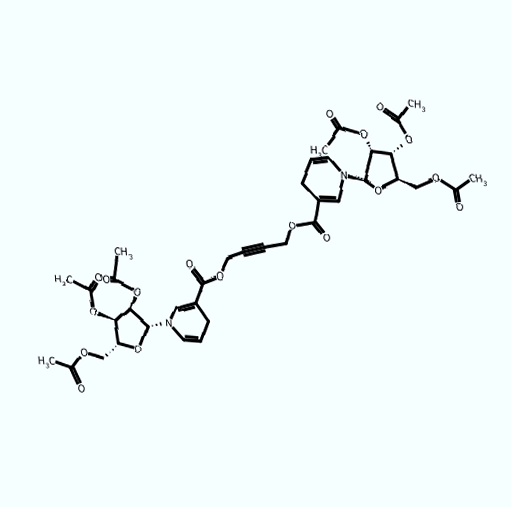 CC(=O)OC[C@H]1O[C@@H](N2C=CCC(C(=O)OCC#CCOC(=O)C3=CN([C@@H]4O[C@H](COC(C)=O)[C@@H](OC(C)=O)[C@H]4OC(C)=O)C=CC3)=C2)[C@H](OC(C)=O)[C@@H]1OC(C)=O